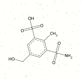 Cc1c(S(N)(=O)=O)cc(CO)cc1S(=O)(=O)O